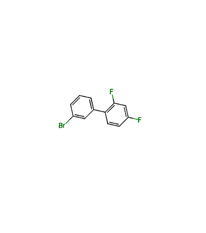 Fc1ccc(-c2cccc(Br)c2)c(F)c1